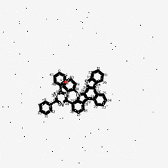 c1ccc(-c2nc(-c3ccccc3)nc(-c3cccc4c5c6ccccc6c6c7ccccc7sc6c5n(-c5ccccc5)c34)n2)cc1